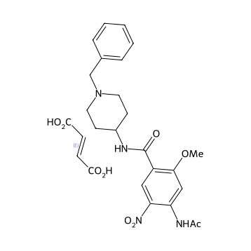 COc1cc(NC(C)=O)c([N+](=O)[O-])cc1C(=O)NC1CCN(Cc2ccccc2)CC1.O=C(O)/C=C/C(=O)O